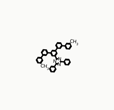 Cc1cccc(-c2cccc(-c3cc(-c4cccc(-c5cccc(C)c5)c4)cc(-c4nc(-c5ccccc5)nc(-c5ccccc5)n4)c3)c2)c1